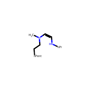 CCCCCCCN(C)/C=C\NCCC